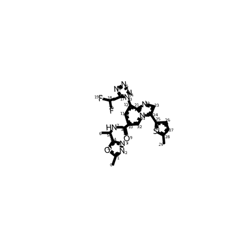 Cc1nnc(C(C)NC(=O)c2cc(-n3nnnc3C(F)F)c3ncc(-c4ccc(C)s4)n3c2)o1